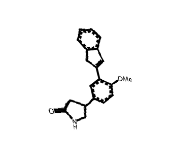 COc1ccc(C2CNC(=O)C2)cc1C1=Cc2ccccc2C1